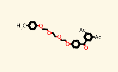 CC(=O)c1cc(C(C)=O)cc(C(=O)c2ccc(OCCOCCOCCOc3ccc(C)cc3)cc2)c1